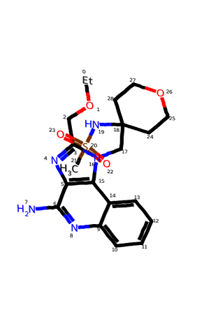 CCOCc1nc2c(N)nc3ccccc3c2n1CC1(NS(C)(=O)=O)CCOCC1